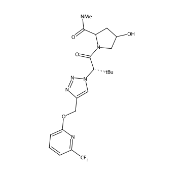 CNC(=O)C1CC(O)CN1C(=O)[C@@H](n1cc(COc2cccc(C(F)(F)F)n2)nn1)C(C)(C)C